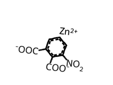 O=C([O-])c1cccc([N+](=O)[O-])c1C(=O)[O-].[Zn+2]